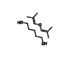 CC(C)=COC=C(C)C.OCCCCCO